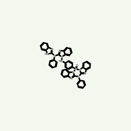 O=P1(c2ccc(Pn3c(N(c4ccccc4)c4nc5ccccc5[nH]4)nc4ccccc43)cc2)n2c(nc3ccccc32)N(c2ccccc2)c2nc3ccccc3n21